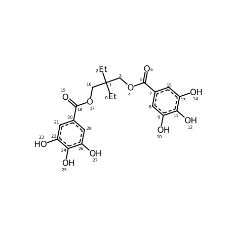 CCC(CC)(COC(=O)c1cc(O)c(O)c(O)c1)COC(=O)c1cc(O)c(O)c(O)c1